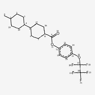 CC1CCC(C2CCC(C(=O)Oc3ccc(OC(F)(F)C(F)(F)F)cc3)CC2)CC1